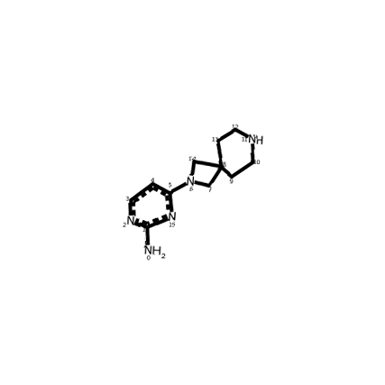 Nc1nccc(N2CC3(CCNCC3)C2)n1